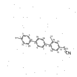 Cc1ccc(-c2ccc(-c3ccc(SC#N)cc3C)cc2)cc1